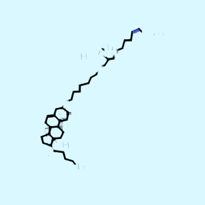 CCCCC/C=C\CCCOCC(COCCCCCCCO[C@H]1CC[C@@]2(C)C(=CC[C@H]3[C@@H]4CC[C@H](C(C)CCCC(C)C)[C@@]4(C)CC[C@@H]32)C1)N(C)C